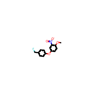 COc1ccc(Oc2ccc(CF)cc2)cc1[N+](=O)[O-]